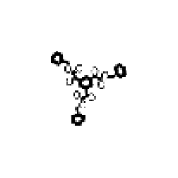 O=C(OCc1ccccc1)C(=O)c1cc(C(=O)C(=O)OCc2ccccc2)cc(C(=O)C(=O)OCc2ccccc2)c1